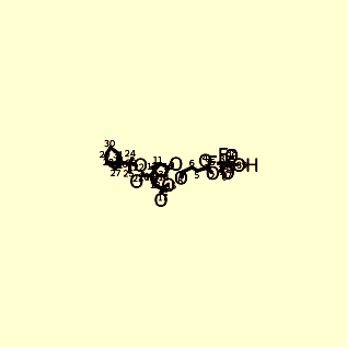 CC(OC(=O)CCC(=O)OC1C2CC3C1OC(=O)C3C2C(=O)OC(C)(C)C1CC2CCC1C2)C(F)(F)S(=O)(=O)O